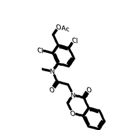 CC(=O)OCc1c(Cl)ccc(N(C)C(=O)CN2COc3ccccc3C2=O)c1Cl